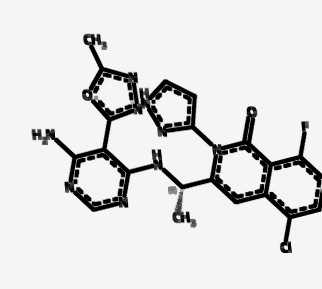 Cc1nnc(-c2c(N)ncnc2N[C@@H](C)c2cc3c(Cl)ccc(F)c3c(=O)n2-c2cc[nH]n2)o1